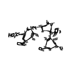 O=C(O)c1nc(NC2=NOC(c3cc(Cl)cc(Cl)c3)(C(F)(F)F)C2)ccc1Cl